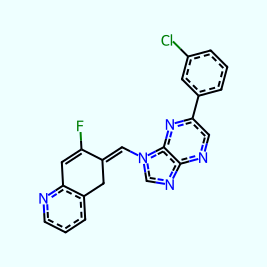 FC1=Cc2ncccc2CC1=Cn1cnc2ncc(-c3cccc(Cl)c3)nc21